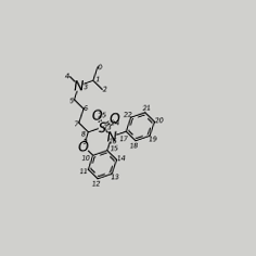 CC(C)N(C)CCCC1Oc2ccccc2N(c2ccccc2)S1(=O)=O